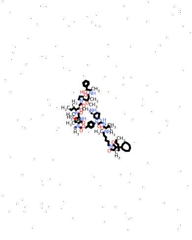 C/C=C\CC(CC)(C1CCCCCCCC1)C1CC(=O)N(CCCCC[C@H](C)N[C@H](C(=O)N[C@@H](C[C@H]2CC[C@H](CN)CC2)C(=O)Nc2ccc(COC(=O)N(C)[C@H](C(=O)N[C@H](C(=O)N(C)[C@@H]([C@@H](C)CC)[C@@H](CC(=O)N3CCC[C@H]3[C@H](OC)[C@@H](C)C(=O)N[C@H](C)[C@@H](O)c3ccccc3)OC)C(C)C)C(C)C)cc2)C(C)C)C1=O